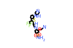 CN1CCC(Nc2cccc3c(CC(F)(F)F)c(C#CCNc4ccc(S(N)(=O)=O)cc4OCC#N)sc23)CC1